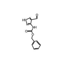 O=Cc1c[nH]nc1NC(=O)OCc1ccccc1